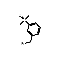 CP(C)(=O)c1cccc(CBr)c1